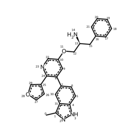 Cc1n[nH]c2ccc(-c3cc(OC[C@@H](N)Cc4ccccc4)cnc3-c3ccoc3)cc12